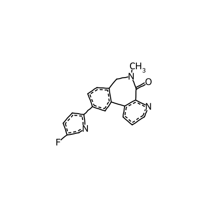 CN1Cc2ccc(-c3ccc(F)cn3)cc2-c2cccnc2C1=O